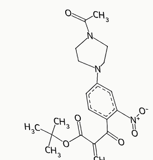 C=C(C(=O)OC(C)(C)C)C(=O)c1ccc(N2CCN(C(C)=O)CC2)cc1[N+](=O)[O-]